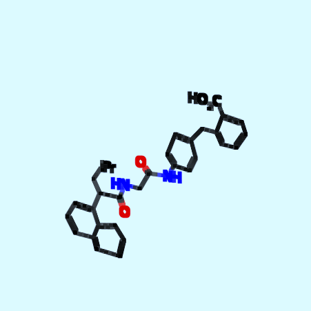 CC(C)CC(C(=O)NCC(=O)Nc1ccc(Cc2ccccc2C(=O)O)cc1)c1cccc2ccccc12